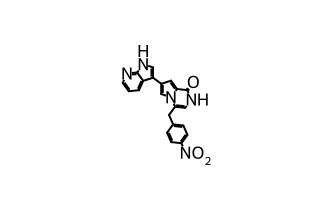 O=c1[nH]cc(Cc2ccc([N+](=O)[O-])cc2)n2cc(-c3c[nH]c4ncccc34)cc12